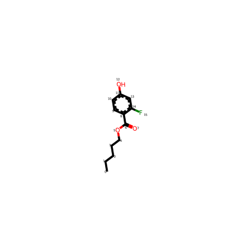 CCCCCOC(=O)c1ccc(O)cc1F